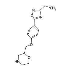 CCc1noc(-c2ccc(OCC3CNCCO3)cc2)n1